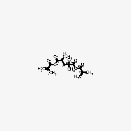 C=C(C)C(=O)OC(=O)C(C)CC(C)(C)C(=O)OC(=O)C(=C)C